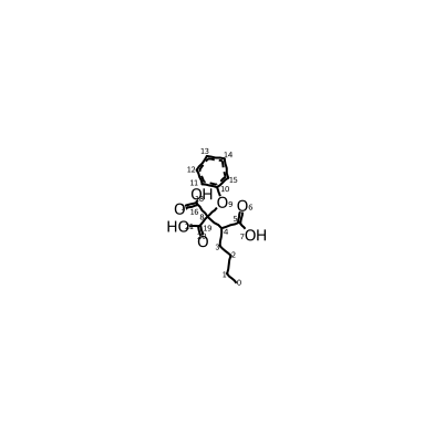 CCCCC(C(=O)O)C(Oc1ccccc1)(C(=O)O)C(=O)O